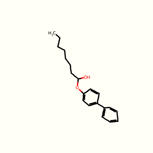 CCCCCCCC(O)Oc1ccc(-c2ccccc2)cc1